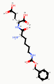 N[C@@H](CCCCNC(=O)OCc1ccccc1)C(=O)N[C@H](CCC(=O)O)C(=O)O